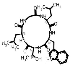 CC(C)C[C@@H]1NC(=O)CNC(=O)[C@H](CC(C)C)NC(=O)[C@H]([C@@H](C)O)NC(=O)[C@H](Cc2c[nH]c3ccccc23)NC1=O